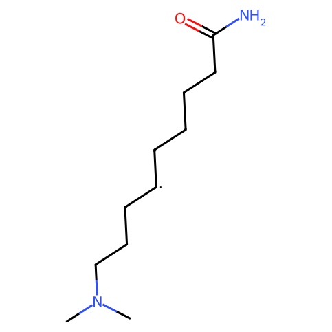 CN(C)CCC[CH]CCCCC(N)=O